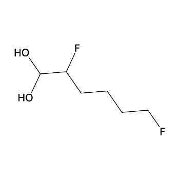 OC(O)C(F)CCCCF